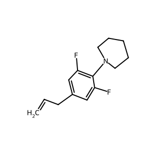 C=CCc1cc(F)c(N2CCCCC2)c(F)c1